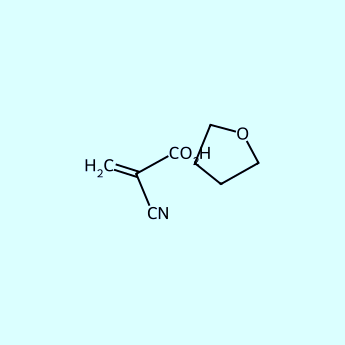 C1CCOC1.C=C(C#N)C(=O)O